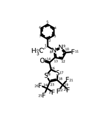 C[C@H](c1ccccc1)n1nc(F)cc1C(=O)C1SC(C(F)(F)F)=C(C(F)(F)F)S1